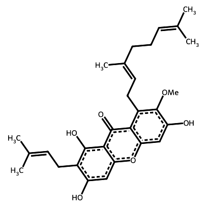 COc1c(O)cc2oc3cc(O)c(CC=C(C)C)c(O)c3c(=O)c2c1C/C=C(\C)CCC=C(C)C